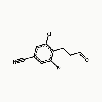 N#Cc1cc(Cl)c(CCC=O)c(Br)c1